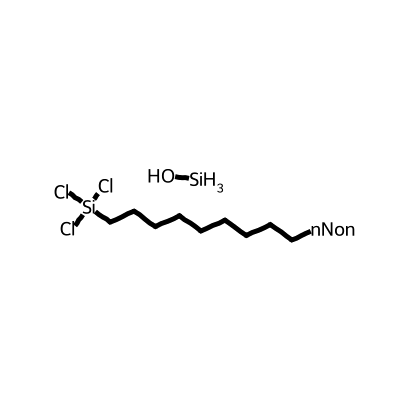 CCCCCCCCCCCCCCCCCC[Si](Cl)(Cl)Cl.O[SiH3]